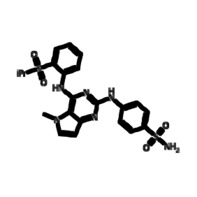 CC(C)S(=O)(=O)c1ccccc1Nc1nc(Nc2ccc(S(N)(=O)=O)cc2)nc2ccn(C)c12